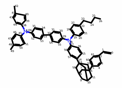 C=Cc1ccc(C23CC4CC(C2)CC(c2ccc(N(c5ccc(CCCC)cc5)c5ccc(-c6ccc(N(c7ccc(C)cc7)c7ccc(C)cc7)cc6)cc5)cc2)(C4)C3)cc1